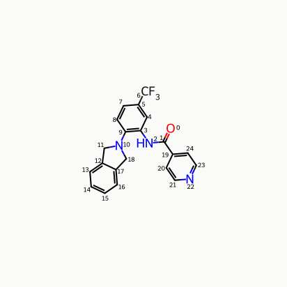 O=C(Nc1cc(C(F)(F)F)ccc1N1Cc2ccccc2C1)c1ccncc1